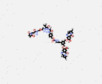 COc1cc2c(cc1OCc1cc(C#CCNC(=O)OCc3ccc(NC(=O)[C@H](C)NC(=O)[C@@H](NCCOCCNC(=O)CCN4C(=O)C=CC4=O)C(C)C)cc3)cc(COc3cc4c(cc3OC)C(=O)N3C=C(C)C[C@H]3C=N4)c1)N=C[C@@H]1CC(C)=CN1C2=O